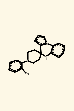 CCc1ccccc1N1CCC2(CC1)Nc1ccccc1-n1cccc12